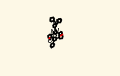 c1ccc(-c2cc(-c3ccccc3)c3oc4cccc(-c5nc(-c6ccccc6)nc(-c6ccc7c(c6)c6ccccc6n7-c6ccccc6)n5)c4c3c2)cc1